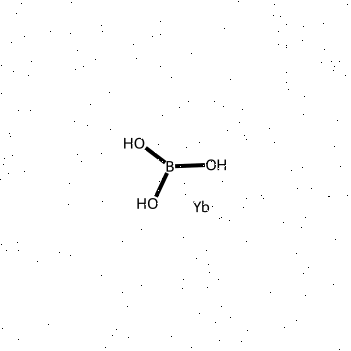 OB(O)O.[Yb]